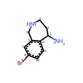 NC1CCNCc2cc(Br)ccc21